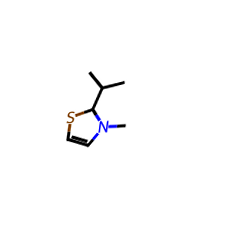 CC(C)C1SC=CN1C